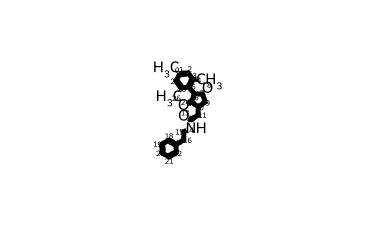 Cc1cc(C)c(C2C(=O)CC(CC(=O)NCCc3ccccc3)C2=O)c(C)c1